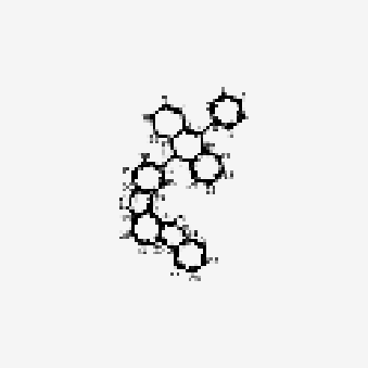 C1=CC2=C(c3ccccc3)c3ccccc3C(c3ccc4oc5ccc6c7ccccc7oc6c5c4c3)C2CC1